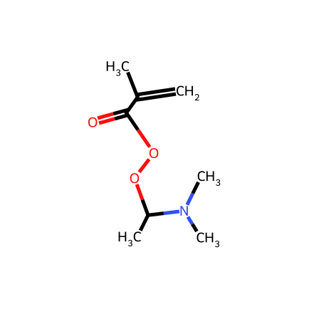 C=C(C)C(=O)OOC(C)N(C)C